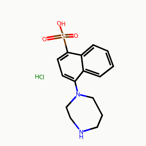 Cl.O=S(=O)(O)c1ccc(N2CCCNCC2)c2ccccc12